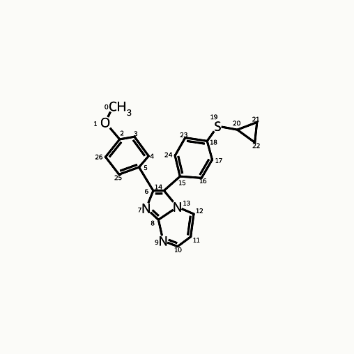 COc1ccc(-c2nc3ncccn3c2-c2ccc(SC3CC3)cc2)cc1